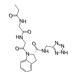 CCC(=O)NCC(=O)NCC(=O)N1c2ccccc2C[C@H]1C(=O)NCc1nn[nH]n1